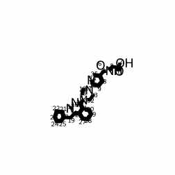 O=C(O)CNC(=O)c1ccc(N2CCN(c3nnc(Cc4ccccc4)c4ccccc34)CC2)nc1